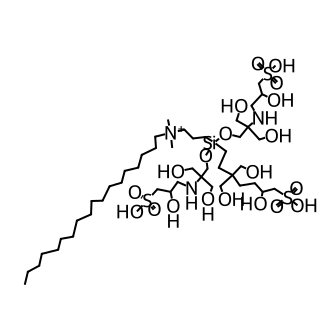 CCCCCCCCCCCCCCCCCC[N+](C)(C)CCC[Si](CCC(CO)(CO)CCC(O)CS(=O)(=O)O)(OCC(CO)(CO)NCC(O)CS(=O)(=O)O)OCC(CO)(CO)NCC(O)CS(=O)(=O)O